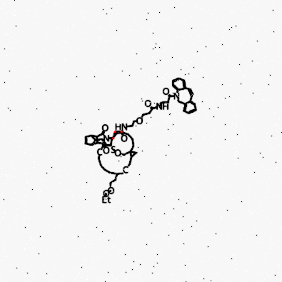 CCOOCCC1CCCCCCC2(CCC3C4C=CC3C3C(=O)N(CCC(=O)NCCOCCC(=O)NCCC(=O)N5Cc6ccccc6C#Cc6ccccc65)C(=O)C43)CCCCCCC3(COS2)CC3CCC1